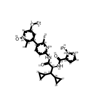 CCOc1cc(-c2ccc(NC(=O)[C@@H](NC(=O)c3ccnn3C(C)C)C(C3CC3)C3CC3)nc2F)c(C)[n+]([O-])c1